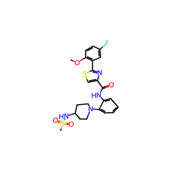 COc1ccc(F)cc1-c1nc(C(=O)Nc2ccccc2N2CCC(NS(C)(=O)=O)CC2)cs1